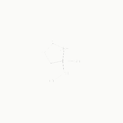 CCCC1(BC(C)C)BCCC1